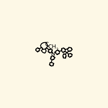 C=C1CCCCC/C(c2ccccc2)=C2/CCCC/C2=C/1c1ccc(N(c2ccc(-c3ccccc3)cc2)c2ccc(-c3ccc4c(c3)C(c3ccccc3)(c3ccccc3)c3ccccc3-4)cc2)cc1